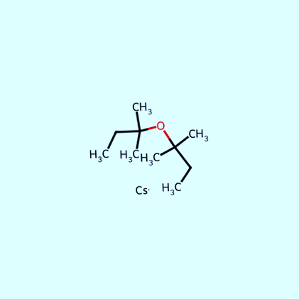 CCC(C)(C)OC(C)(C)CC.[Cs]